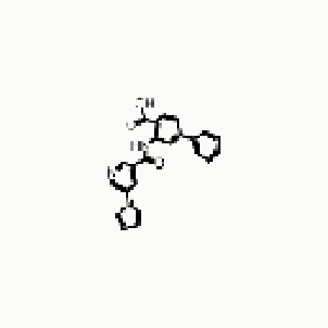 O=C(Nc1cc(-c2ccccc2)ccc1C(=O)O)c1cncc(-n2cccc2)c1